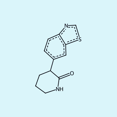 O=C1NCCCC1c1ccc2ncsc2c1